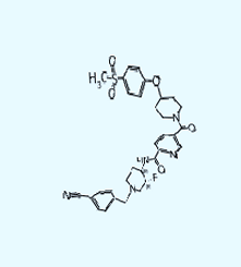 CS(=O)(=O)c1ccc(OC2CCN(C(=O)c3ccc(C(=O)N[C@@H]4CCN(Cc5ccc(C#N)cc5)C[C@H]4F)nc3)CC2)cc1